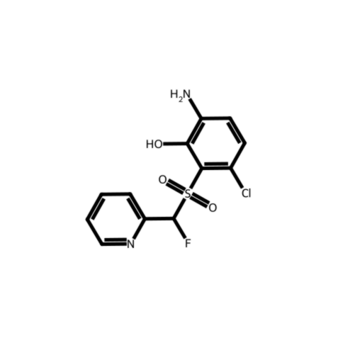 Nc1ccc(Cl)c(S(=O)(=O)C(F)c2ccccn2)c1O